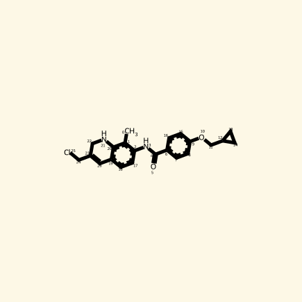 Cc1c(NC(=O)c2ccc(OCC3CC3)cc2)ccc2c1NCC(CCl)=C2